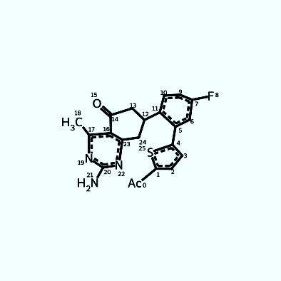 CC(=O)c1ccc(-c2cc(F)ccc2C2CC(=O)c3c(C)nc(N)nc3C2)s1